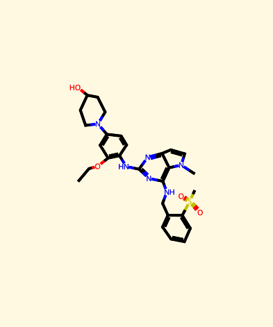 CCOc1cc(N2CCC(O)CC2)ccc1Nc1nc(NCc2ccccc2S(C)(=O)=O)c2c(ccn2C)n1